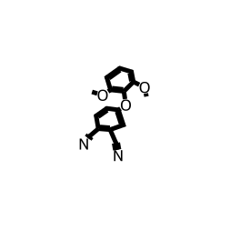 COc1cccc(OC)c1Oc1ccc(C#N)c(C#N)c1